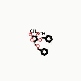 CO[C@@H]1O[C@H](COCc2ccccc2)[C@@H](OCc2ccccc2)[C@H]1OC